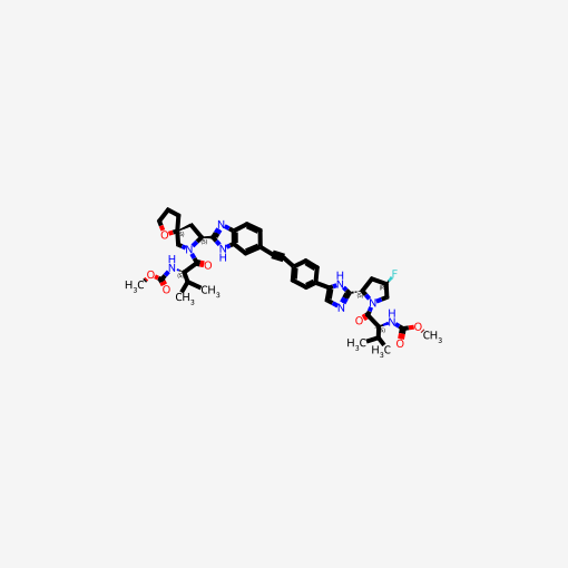 COC(=O)N[C@H](C(=O)N1C[C@H](F)C[C@H]1c1ncc(-c2ccc(C#Cc3ccc4nc([C@@H]5C[C@@]6(CCCO6)CN5C(=O)[C@@H](NC(=O)OC)C(C)C)[nH]c4c3)cc2)[nH]1)C(C)C